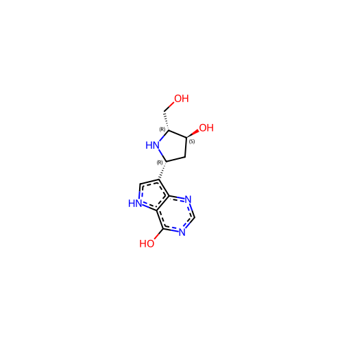 OC[C@H]1N[C@@H](c2c[nH]c3c(O)ncnc23)C[C@@H]1O